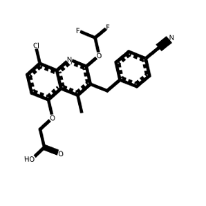 Cc1c(Cc2ccc(C#N)cc2)c(OC(F)F)nc2c(Cl)ccc(OCC(=O)O)c12